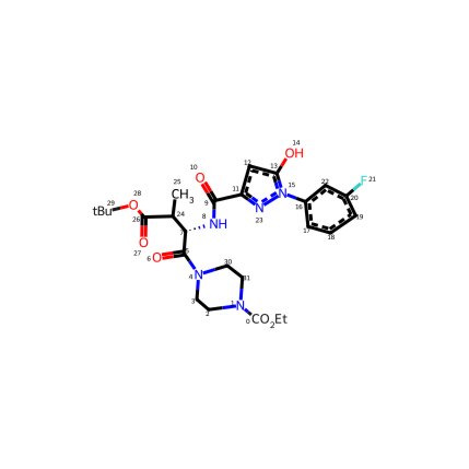 CCOC(=O)N1CCN(C(=O)[C@@H](NC(=O)c2cc(O)n(-c3cccc(F)c3)n2)C(C)C(=O)OC(C)(C)C)CC1